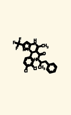 CC1=C(C(=O)NC(C)Cc2ccccc2)C(c2ccc(Cl)c(Cl)c2)n2nc(C(F)(F)F)cc2N1